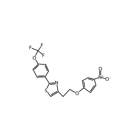 O=[N+]([O-])c1ccc(OCCc2csc(-c3ccc(OC(F)(F)F)cc3)n2)cc1